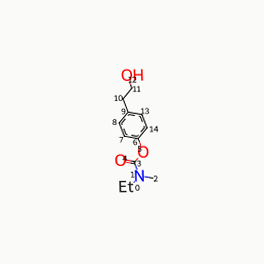 CCN(C)C(=O)Oc1ccc(CCO)cc1